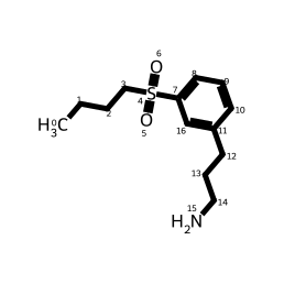 CCCCS(=O)(=O)c1cccc(CCCN)c1